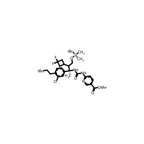 COC(=O)c1ccc(NC(=O)N[C@@](C)(c2ccc(CCC(C)(C)C)c(Cl)c2)C(CO[Si](C)(C)C(C)(C)C)C2CC(F)(F)C2)nc1